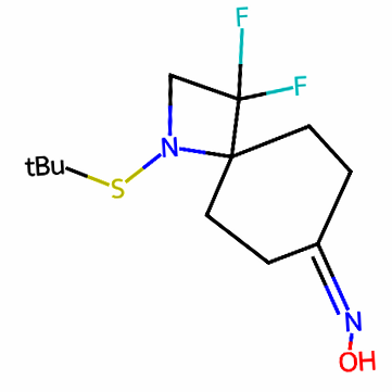 CC(C)(C)SN1CC(F)(F)C12CCC(=NO)CC2